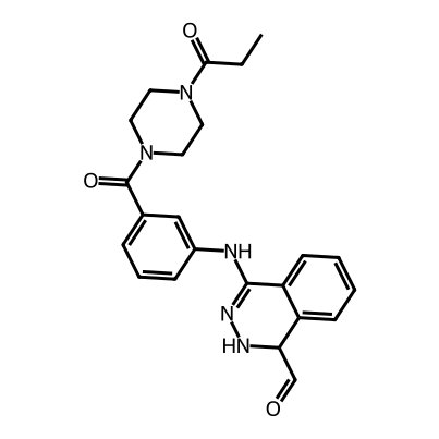 CCC(=O)N1CCN(C(=O)c2cccc(NC3=NNC(C=O)c4ccccc43)c2)CC1